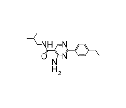 CCc1ccc(-c2ncc(C(=O)NCC(C)C)c(N)n2)cc1